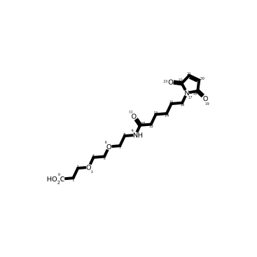 O=C(O)CCOCCOCCNC(=O)CCCCCN1C(=O)C=CC1=O